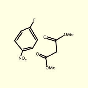 COC(=O)CC(=O)OC.O=[N+]([O-])c1ccc(F)cc1